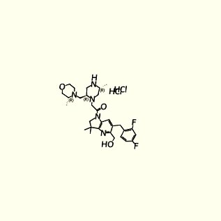 C[C@@H]1CN(CC(=O)N2CC(C)(C)c3nc(CO)c(Cc4ccc(F)cc4F)cc32)[C@@H](CN2CCOC[C@H]2C)CN1.Cl.Cl